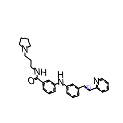 O=C(NCCCN1CCCC1)c1cccc(Nc2cccc(/C=C/c3ccccn3)c2)c1